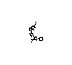 N#Cc1cnc2c(ccn2-c2cn(-c3cn(C4CCCCC4)nc3C(F)F)nn2)c1